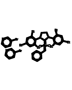 Brc1cccnc1.Brc1cccnc1.CCc1cc(CC)c(N2CCN(c3c(CC)cc(CC)cc3CC)[C]2=[Ru]([Cl])([Cl])=[CH]c2ccccc2)c(CC)c1